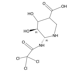 O=C(O)C1CN[C@H](NC(=O)C(Cl)(Cl)Cl)[C@@H](O)C1O